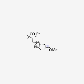 CCOC(=O)C(C)(C)CCn1cc2c(n1)CC/C(=C\OC)C2